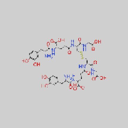 NC(Cc1ccc(O)c(O)c1)C(=O)NC(CCC(=O)NC(CSSCC(NC(=O)CCC(NC(=O)C(N)Cc1ccc(O)c(O)c1)C(=O)O)C(=O)NCC(=O)O)C(=O)NCC(=O)O)C(=O)O